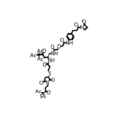 CC(=O)C1(C(=O)CCN2C(=O)CC(SCCC(=O)N[C@H](CNC(=O)COCC(=O)Nc3ccc(CCC(=O)N4CCC4=O)cc3)CC(=O)C(C(C)=O)(C(C)=O)C(C)=O)C2=O)SS1